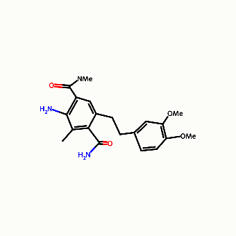 CNC(=O)c1cc(CCc2ccc(OC)c(OC)c2)c(C(N)=O)c(C)c1N